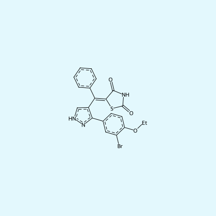 CCOc1ccc(-c2n[nH]cc2C(=C2SC(=O)NC2=O)c2ccccc2)cc1Br